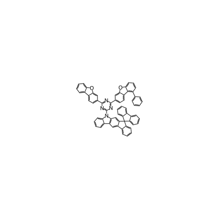 c1ccc(-c2cccc3oc4cc(-c5nc(-c6ccc7c(c6)oc6ccccc67)nc(-n6c7ccccc7c7cc8c(cc76)C6(c7ccccc7-c7ccccc76)c6ccccc6-8)n5)ccc4c23)cc1